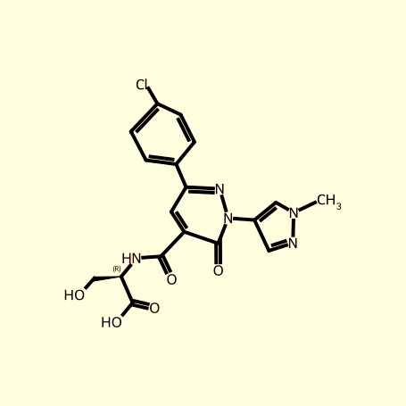 Cn1cc(-n2nc(-c3ccc(Cl)cc3)cc(C(=O)N[C@H](CO)C(=O)O)c2=O)cn1